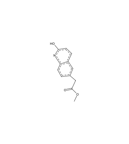 COC(=O)Cc1ccc2nc(O)ccc2c1